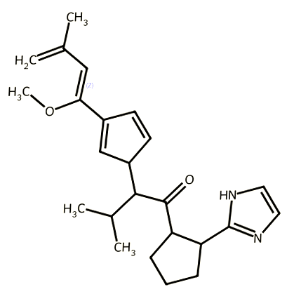 C=C(C)/C=C(\OC)C1=CC(C(C(=O)C2CCCC2c2ncc[nH]2)C(C)C)C=C1